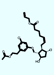 C=CCOC(=O)CCC/C=C\C[C@@H]1[C@@H](COc2cc(Cl)cc(CCOC(C)=O)c2)[C@H](O)C[C@H]1Cl